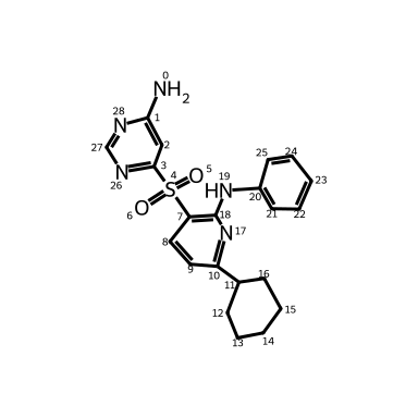 Nc1cc(S(=O)(=O)c2ccc(C3CCCCC3)nc2Nc2ccccc2)ncn1